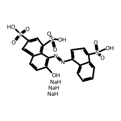 O=S(=O)(O)c1cc(S(=O)(=O)O)c2c(/N=N/c3ccc(S(=O)(=O)O)c4ccccc34)c(O)ccc2c1.[NaH].[NaH].[NaH]